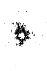 CC[C@H](C)[C@@H]1NC(=O)[C@H](Cc2ccc(O)cc2)NC(=O)CNC(=O)CC[C@@H](C(=O)N(C)CC(=O)N[C@@H](CCC(C)C)C(=O)NCC(N)=O)NC(=O)[C@H](CC(N)=O)NC(=O)[C@H](CCC(N)=O)NC1=O